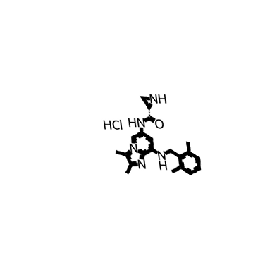 Cc1cccc(C)c1CNc1cc(NC(=O)[C@@H]2CN2)cn2c(C)c(C)nc12.Cl